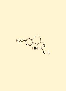 CC1=NC2CCCc3cc(C)ccc3C2N1